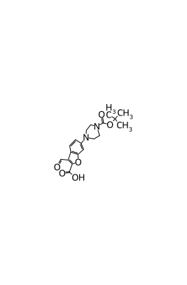 CC(C)(C)OC(=O)N1CCN(c2ccc3c(C=O)c(C(=O)O)oc3c2)CC1